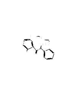 CCOCC.Cc1ccccc1C(=O)C(O)c1ccccc1